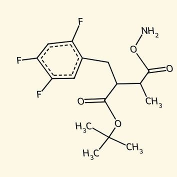 CC(C(=O)ON)C(Cc1cc(F)c(F)cc1F)C(=O)OC(C)(C)C